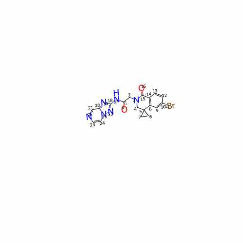 O=C(CN1CC2(CC2)c2cc(Br)ccc2C1=O)Nc1nc2cnccn2n1